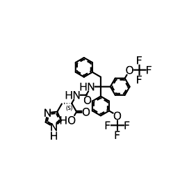 O=C(N[C@@H](Cc1c[nH]cn1)C(=O)O)NC(Cc1ccccc1)(c1cccc(OC(F)(F)F)c1)c1cccc(OC(F)(F)F)c1